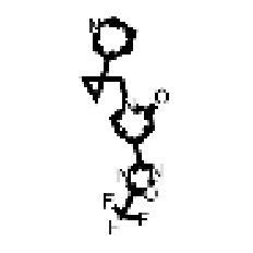 O=c1cc(-c2noc(C(F)(F)F)n2)ccn1CC1(c2cccnc2)CC1